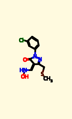 CSCC1=NN(c2cccc(Cl)c2)C(=O)C1=CNO